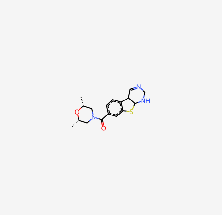 C[C@@H]1CN(C(=O)c2ccc3c(c2)SC2NCN=CC32)C[C@H](C)O1